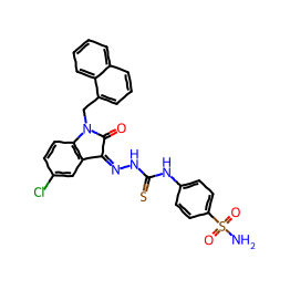 NS(=O)(=O)c1ccc(NC(=S)NN=C2C(=O)N(Cc3cccc4ccccc34)c3ccc(Cl)cc32)cc1